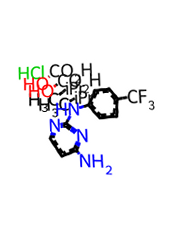 CC(C)C.CC(C)C.Cl.Nc1ccnc(Nc2ccc(C(F)(F)F)cc2)n1.O=C(O)O.O=C(O)O